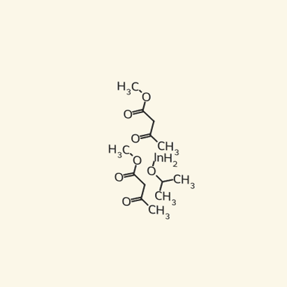 CC(C)[O][InH2].COC(=O)CC(C)=O.COC(=O)CC(C)=O